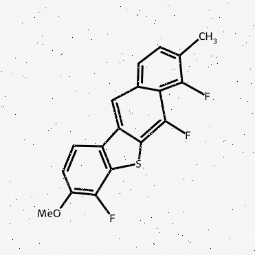 COc1ccc2c(sc3c(F)c4c(F)c(C)ccc4cc32)c1F